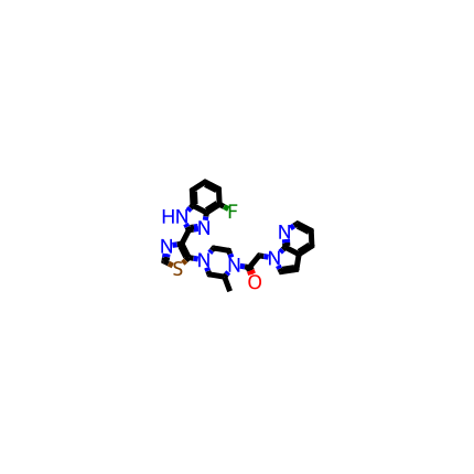 CC1CN(c2scnc2-c2nc3c(F)cccc3[nH]2)CCN1C(=O)Cn1ccc2cccnc21